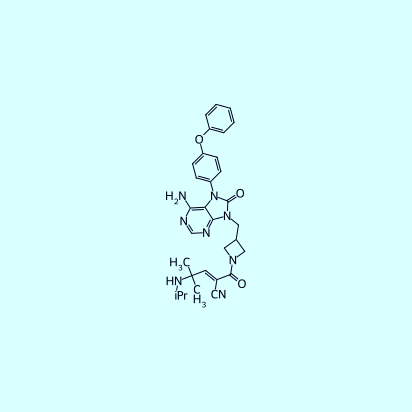 CC(C)NC(C)(C)C=C(C#N)C(=O)N1CC(Cn2c(=O)n(-c3ccc(Oc4ccccc4)cc3)c3c(N)ncnc32)C1